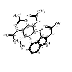 CC(=O)O[C@@H]1[C@@H](OC(C)=O)[C@H](Oc2c(CC(=O)O)[nH]c3ccccc23)O[C@H](CO)[C@H]1OC(C)=O